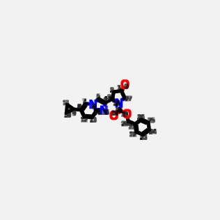 O=C1C[C@H](c2cn3cc(C4CC4)ccc3n2)N(C(=O)OCc2ccccc2)C1